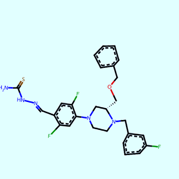 NC(=S)N/N=C/c1cc(F)c(N2CCN(Cc3cccc(F)c3)[C@@H](COCc3ccccc3)C2)cc1F